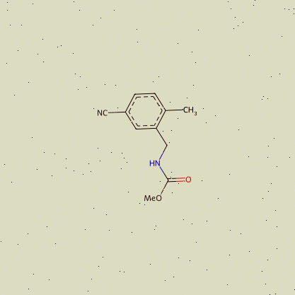 COC(=O)NCc1cc(C#N)ccc1C